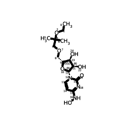 CCOC(C)(C)COC[C@H]1O[C@@H](n2ccc(NO)nc2=O)[C@H](O)[C@@H]1O